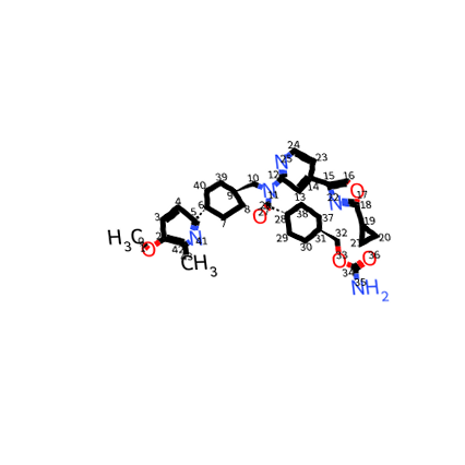 COc1ccc([C@H]2CC[C@H](CN(c3cc(-c4coc(C5CC5)n4)ccn3)C(=O)[C@H]3CC[C@H](COC(N)=O)CC3)CC2)nc1C